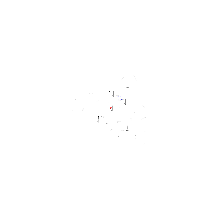 CCC1=C2/C=C\Cc3cccc4c3c3c(c5ccccc54)-c4ccccc4C13c1cccc(-c3c(-c4nc(-c5ccccc5)nc(-c5ccccc5)n4)ccc4ccccc34)c12